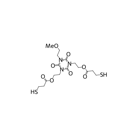 COCCn1c(=O)n(CCOC(=O)CCS)c(=O)n(CCOC(=O)CCS)c1=O